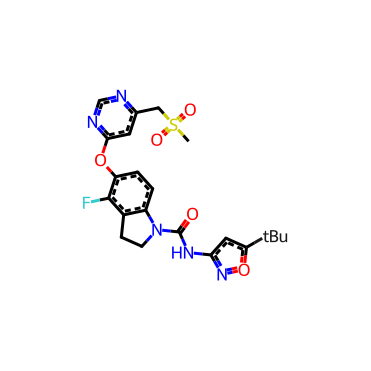 CC(C)(C)c1cc(NC(=O)N2CCc3c2ccc(Oc2cc(CS(C)(=O)=O)ncn2)c3F)no1